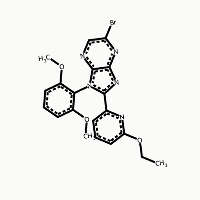 CCOc1cccc(-c2nc3nc(Br)cnc3n2-c2c(OC)cccc2OC)n1